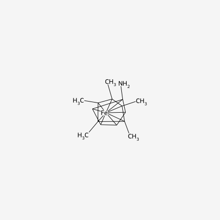 C[C]12[C]3(C)[C]4(C)[C]5(C)[C]1(C)[Fe]23451678[CH]2[CH]1[CH]6[C]7(N)[CH]28